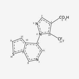 O=C(O)c1cnn(-c2cncc3sccc23)c1C(F)(F)F